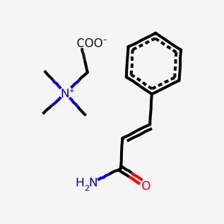 C[N+](C)(C)CC(=O)[O-].NC(=O)/C=C/c1ccccc1